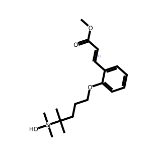 COC(=O)/C=C/c1ccccc1OCCCC(C)(C)[Si](C)(C)O